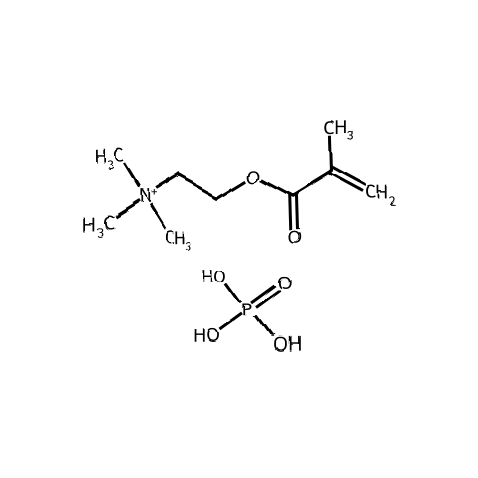 C=C(C)C(=O)OCC[N+](C)(C)C.O=P(O)(O)O